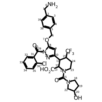 NCc1ccc(COc2cc(C3C(C(=O)O)N(C(=O)N4CCC(O)C4)CCC3C(F)(F)F)nn2C(=O)c2ccccc2Cl)cc1